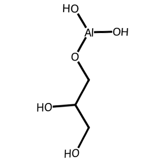 OCC(O)C[O][Al]([OH])[OH]